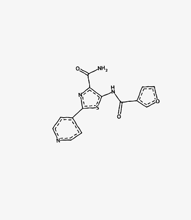 NC(=O)c1nc(-c2ccncc2)sc1NC(=O)c1ccoc1